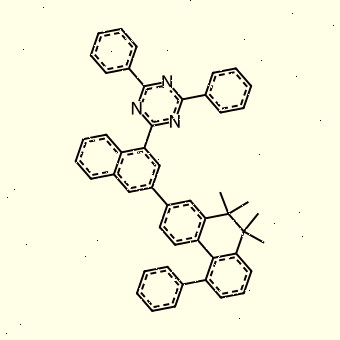 CC1(C)c2cc(-c3cc(-c4nc(-c5ccccc5)nc(-c5ccccc5)n4)c4ccccc4c3)ccc2-c2c(-c3ccccc3)cccc2C1(C)C